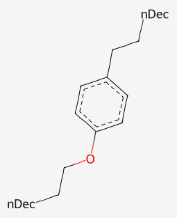 CCCCCCC[CH]CCCCc1ccc(OCCCCCCCCCCCC)cc1